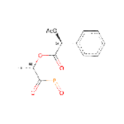 CC(=O)O[C@H](C(=O)O[C@@H](C)C(=O)P=O)c1ccccc1